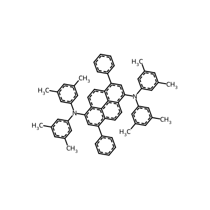 Cc1cc(C)cc(N(c2cc(C)cc(C)c2)c2cc(-c3ccccc3)c3ccc4c(N(c5cc(C)cc(C)c5)c5cc(C)cc(C)c5)cc(-c5ccccc5)c5ccc2c3c54)c1